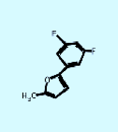 Cc1ccc(-c2cc(F)cc(F)c2)o1